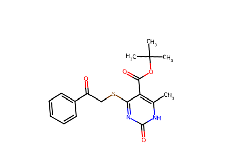 Cc1[nH]c(=O)nc(SCC(=O)c2ccccc2)c1C(=O)OC(C)(C)C